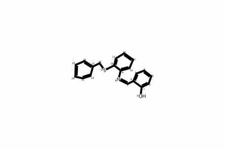 Oc1ccccc1/C=N\c1ccccc1SCc1ccccc1